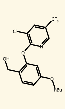 CCCCOc1ccc(CO)c(Oc2ncc(C(F)(F)F)cc2Cl)c1